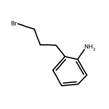 Nc1ccccc1CCCBr